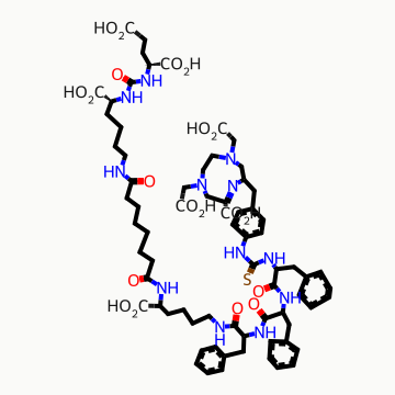 O=C(O)CC[C@H](NC(=O)N[C@@H](CCCCNC(=O)CCCCCCC(=O)NC(CCCCNC(=O)C(Cc1ccccc1)NC(=O)C(Cc1ccccc1)NC(=O)C(Cc1ccccc1)NC(=S)Nc1ccc(CC2CN(CC(=O)O)CCN(CC(=O)O)C/C(C(=O)O)=N/2)cc1)C(=O)O)C(=O)O)C(=O)O